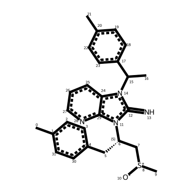 Cc1ccc(C[C@@H](C[S+](C)[O-])n2c(=N)n(C(C)c3ccc(C)cc3)c3cccnc32)cc1